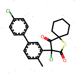 Cc1ccc(-c2ccc(Cl)cc2)cc1C1(Cl)C(=O)SC2(CCCCC2)C1=O